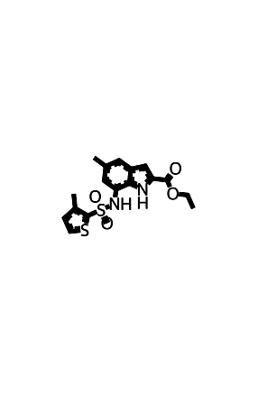 CCOC(=O)c1cc2cc(C)cc(NS(=O)(=O)c3sccc3C)c2[nH]1